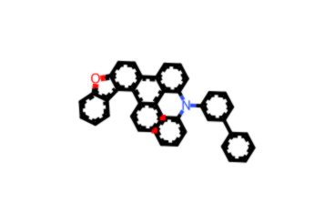 c1ccc(-c2cccc(N(c3ccccc3)c3cccc4c5ccc6oc7ccccc7c6c5c5ccccc5c34)c2)cc1